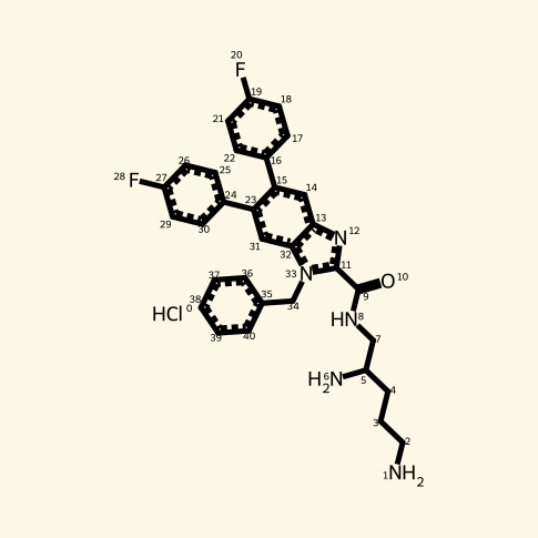 Cl.NCCCC(N)CNC(=O)c1nc2cc(-c3ccc(F)cc3)c(-c3ccc(F)cc3)cc2n1Cc1ccccc1